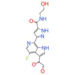 O=CC(=O)c1c[nH]c2c(-c3cc(C(=O)NCCO)[nH]n3)ncc(F)c12